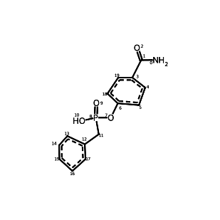 NC(=O)c1ccc(OP(=O)(O)Cc2ccccc2)cc1